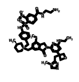 CCNc1cc(C2(Cc3nncn3C)COC2)cc(N2Cc3c(SC)cc(C[N+]4(Cc5ccc(NS(=O)(=O)c6ccc(C(=O)NCCN)cc6[N+](=O)[O-])cc5)CCC[C@H](C)C4)cc3C2=O)n1